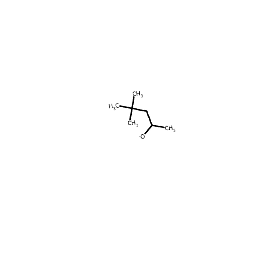 CC([O])CC(C)(C)C